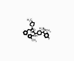 Cc1ccccc1NC(c1nc(Cc2ccccc2)c(N2CCC(C)CC2)o1)C1CCC(C(c2ccc(F)cc2)N(C)C)CC1